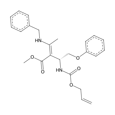 C=CCOC(=O)N[C@@H](COc1ccccc1)/C(C(=O)OC)=C(\C)NCc1ccccc1